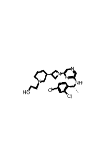 C[C@@H](Nc1cncc(N2CC([C@@H]3CCCN(CCO)C3)C2)n1)c1ccc(Cl)cc1Cl